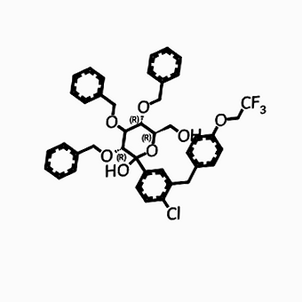 OC[C@H]1OC(O)(c2ccc(Cl)c(Cc3ccc(OCC(F)(F)F)cc3)c2)[C@H](OCc2ccccc2)C(OCc2ccccc2)[C@@H]1OCc1ccccc1